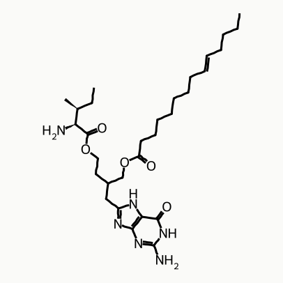 CCCCC=CCCCCCCCC(=O)OCC(CCOC(=O)[C@@H](N)[C@@H](C)CC)Cc1nc2nc(N)[nH]c(=O)c2[nH]1